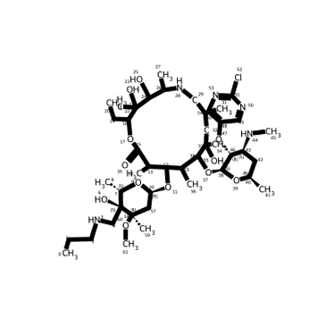 CCCNC[C@]1(O)[C@H](C)O[C@@H](OC2C(C)C(=O)OC(CC)C(C)(O)C(O)C(C)NCC(C)CC(C)(O)C(O[C@@H]3O[C@H](C)C[C@H](NC)[C@H]3Oc3cnc(Cl)nc3)C2C)C[C@@]1(C)OC